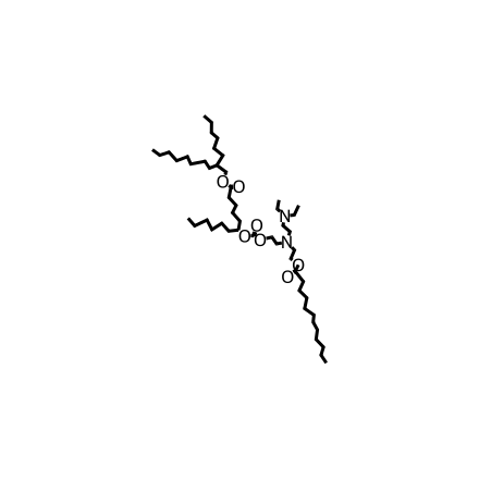 CCCCCCCCCCCC(=O)OCCN(CCOC(=O)OC(CCCCCC)CCCCC(=O)OCC(CCCCCC)CCCCCCCC)CCN(CC)CC